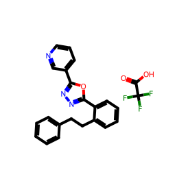 O=C(O)C(F)(F)F.c1ccc(CCc2ccccc2-c2nnc(-c3cccnc3)o2)cc1